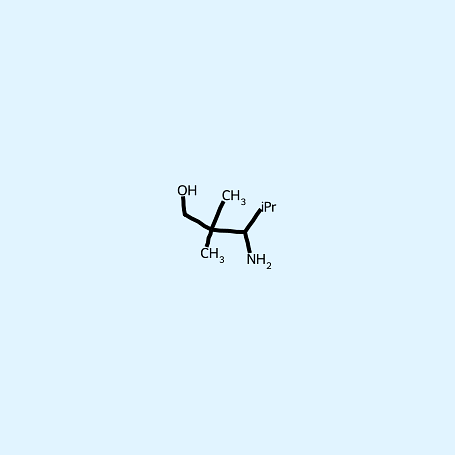 CC(C)C(N)C(C)(C)CO